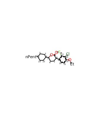 CCCCCC1CCC(C2CCC(c3ccc(OCC)c(Cl)c3F)C(=O)O2)CC1